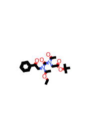 CCOC(C)N(CC(=O)c1ccccc1)C(=O)N(CC(=O)OC(C)(C)C)C(C)=O